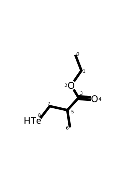 CCOC(=O)C(C)C[TeH]